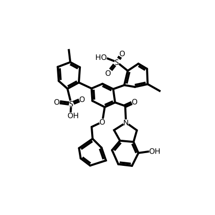 Cc1ccc(S(=O)(=O)O)c(-c2cc(OCc3ccccc3)c(C(=O)N3Cc4cccc(O)c4C3)c(-c3cc(C)ccc3S(=O)(=O)O)c2)c1